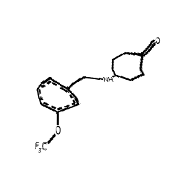 O=C1CCC(NCc2cccc(OC(F)(F)F)c2)CC1